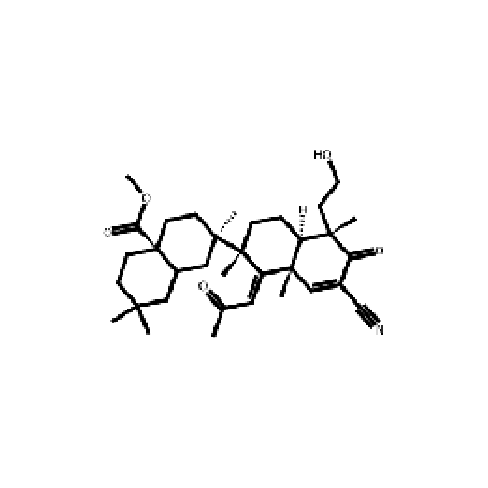 COC(=O)[C@]12CCC(C)(C)CC1C[C@](C)([C@]1(C)CC[C@H]3[C@](C)(CCO)C(=O)C(C#N)=C[C@]3(C)/C1=C/C(C)=O)CC2